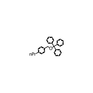 CCCc1ccc(COC(c2ccccc2)(c2ccccc2)c2ccccc2)cc1